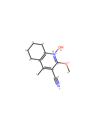 COc1c(C#N)c(C)c2c([n+]1O)CCCC2